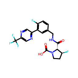 O=C(NCc1ccc(F)c(-c2cnc(C(F)(F)F)cn2)c1)[C@@H]1[C@@H](F)CCN1C(=O)O